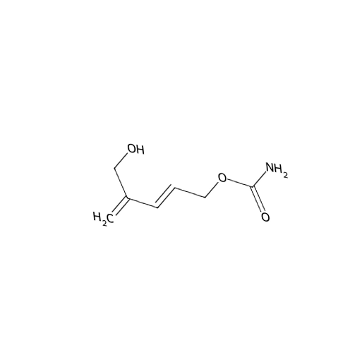 C=C(C=CCOC(N)=O)CO